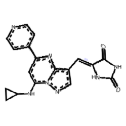 O=C1NC(=O)/C(=C/c2cnn3c(NC4CC4)cc(-c4ccncc4)nc23)N1